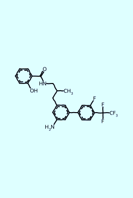 CC(CNC(=O)c1ccccc1O)Cc1cc(N)cc(-c2ccc(C(F)(F)C(F)(F)F)c(F)c2)c1